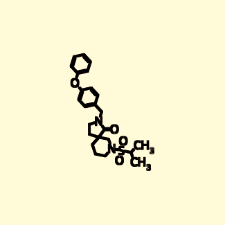 CC(C)S(=O)(=O)N1CCCC2(CCN(Cc3ccc(Oc4ccccc4)cc3)C2=O)C1